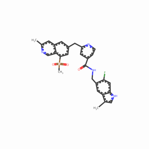 Cc1cc2cc(Cc3cc(C(=O)NCc4cc5c(C)c[nH]c5cc4F)ccn3)cc(S(C)(=O)=O)c2cn1